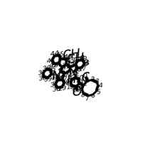 C=C1/C=C\C=C/C/C=C\c2oc3ccc(-n4c5ccccc5c5c6c(c7c(c8ccccc8n7-c7ccccc7)c54)-c4ccccc4C6(C)C)cc3c21